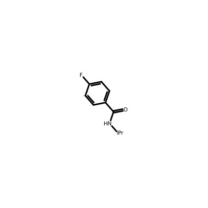 CC(C)NC(=O)c1c[c]c(F)cc1